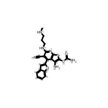 CNCCCNc1nc2sc(OC(N)=O)c(N)c2c(-c2cc3ccccc3o2)c1C#N